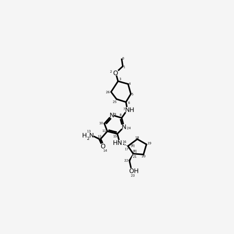 CCOC1CCC(Nc2ncc(C(N)=O)c(N[C@@H]3CCC[C@H]3CO)n2)CC1